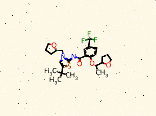 CC(Oc1ccc(C(F)(F)F)cc1C(=O)N=c1sc(C(C)(C)C)cn1C[C@H]1CCCO1)C1CCCO1